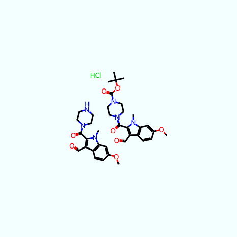 COc1ccc2c(C=O)c(C(=O)N3CCN(C(=O)OC(C)(C)C)CC3)n(C)c2c1.COc1ccc2c(C=O)c(C(=O)N3CCNCC3)n(C)c2c1.Cl